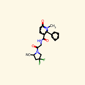 Cn1c(-c2ccccc2)c(C(=O)NCC(=O)N2CC(F)(F)CC2C#N)ccc1=O